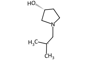 C[C](C)CN1CC[C@@H](O)C1